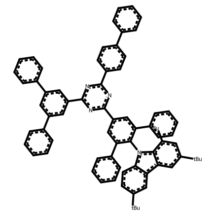 CC(C)(C)c1ccc2c(c1)c1cc(C(C)(C)C)cc(C(C)(C)C)c1n2-c1c(-c2ccccc2)cc(-c2nc(-c3ccc(-c4ccccc4)cc3)nc(-c3cc(-c4ccccc4)cc(-c4ccccc4)c3)n2)cc1-c1ccccc1